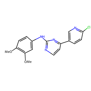 COc1ccc(Nc2nccc(-c3ccc(Cl)nc3)n2)cc1OC